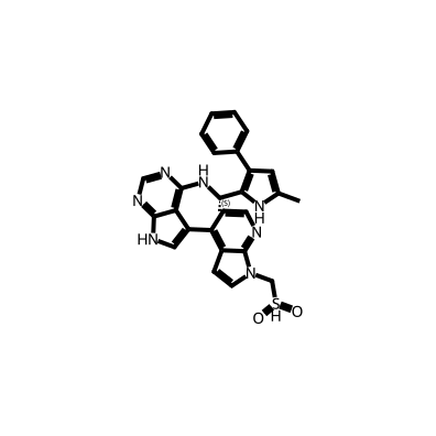 Cc1cc(-c2ccccc2)c([C@H](C)Nc2ncnc3[nH]cc(-c4ccnc5c4ccn5C[SH](=O)=O)c23)[nH]1